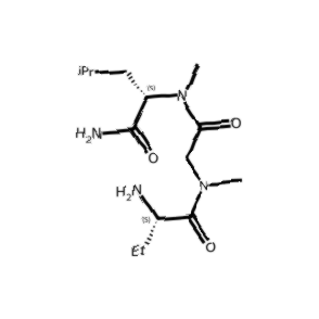 CC[C@H](N)C(=O)N(C)CC(=O)N(C)[C@@H](CC(C)C)C(N)=O